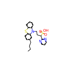 CCCCc1ccc2c(c1)N(CCC(c1ncccn1)S(=O)(=O)O)c1ccccc1S2